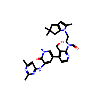 Cc1cc(Nc2cc(-c3ccnc(N(C=O)CCn4c(C)cc5c4CC(C)(C)C5)c3CO)cn(C)c2=O)nc(C)n1